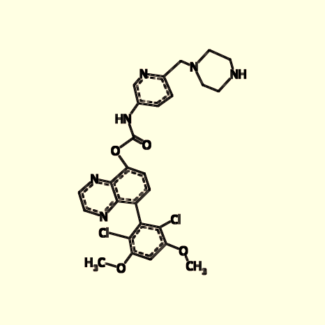 COc1cc(OC)c(Cl)c(-c2ccc(OC(=O)Nc3ccc(CN4CCNCC4)nc3)c3nccnc23)c1Cl